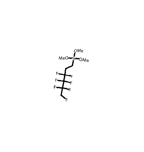 CO[Si](CCC(F)(F)C(F)(F)C(F)(F)CF)(OC)OC